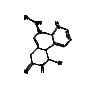 CC(C)NN1C=C2CC(=O)NC(C(C)C)C2C2=CC=CNC21